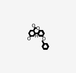 O=C1CCC2C(=O)Oc3ccc(OCc4ccccc4)cc3[C@H]2C1